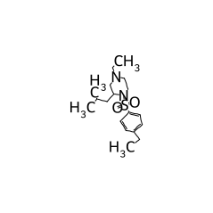 CCc1ccc(S(=O)(=O)N2CCN(CC)CC2CC(C)C)cc1